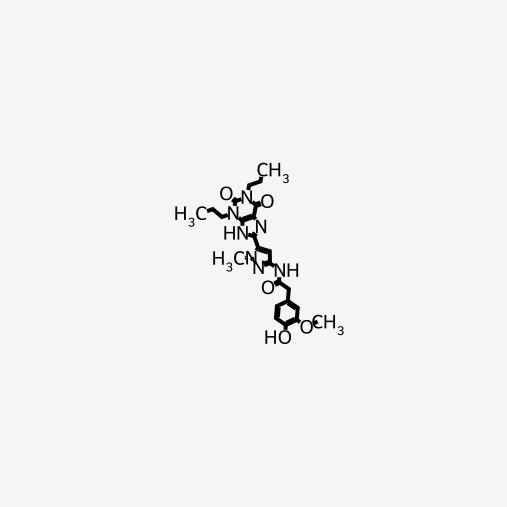 CCCn1c(=O)c2nc(-c3cc(NC(=O)Cc4ccc(O)c(OC)c4)nn3C)[nH]c2n(CCC)c1=O